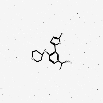 CC(N)c1ccc(OC2CCOCC2)c(-c2ccc(Cl)s2)c1